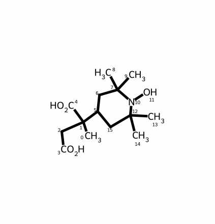 CC(CC(=O)O)(C(=O)O)C1CC(C)(C)N(O)C(C)(C)C1